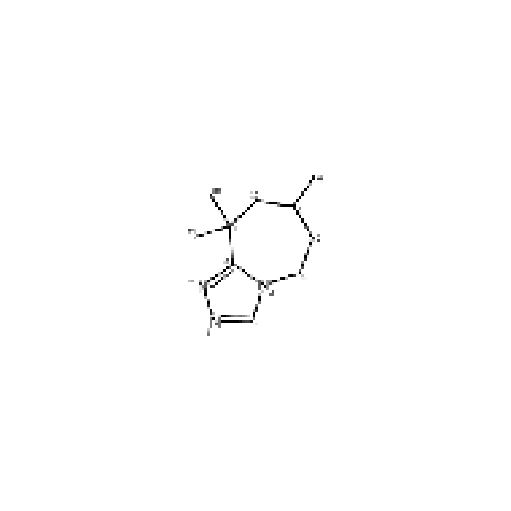 CC1CCn2cnnc2C(C)(C)C1